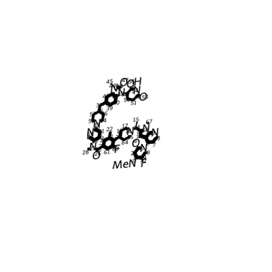 CNc1cc(=O)n(-c2ccnc3c2cc([C@H](C)N2CC=C(c4c(C)cc(C(=O)N(C)c5ccc(N6CCC(Cc7ccc8c(c7)n(C)c(=O)n8[C@@H]7CCC(=O)NC7=O)CC6)nc5)cc4F)CC2)n3C)cc1F